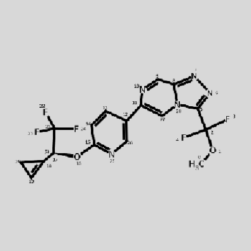 COC(F)(F)c1nnc2cnc(-c3ccc(O[C@@H](C4=CC4)C(F)(F)F)nc3)cn12